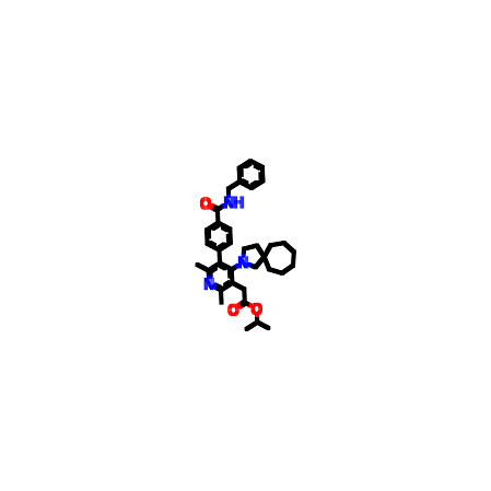 Cc1nc(C)c(-c2ccc(C(=O)NCc3ccccc3)cc2)c(N2CCC3(CCCCCC3)C2)c1CC(=O)OC(C)C